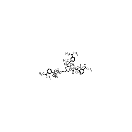 C=C(C)c1cccc(C(C)(C)NC(=O)OCCC(COC(=O)NC(C)(C)c2cccc(C(=C)C)c2)OC(=O)NC(C)(C)c2cccc(C(=C)C)c2)c1